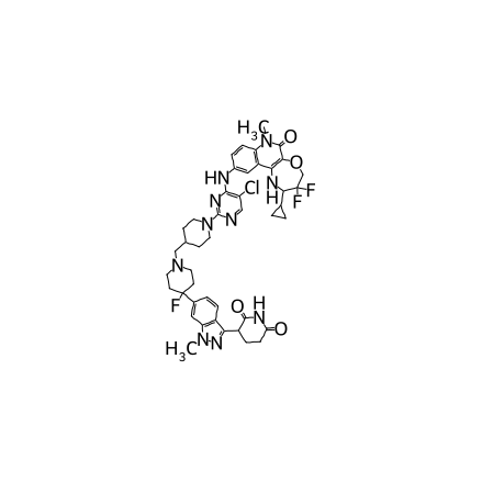 Cn1nc(C2CCC(=O)NC2=O)c2ccc(C3(F)CCN(CC4CCN(c5ncc(Cl)c(Nc6ccc7c(c6)c6c(c(=O)n7C)OCC(F)(F)C(C7CC7)N6)n5)CC4)CC3)cc21